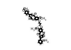 COc1cc2c(cc1OCCCOc1cc3c(cc1OC)C(=O)N1C=C(c4ccccc4N)C[C@H]1C=N3)N=C[C@@H]1CC(C3=CCC(OC)C=C3)=CN1C2=O